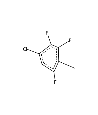 Cc1c(F)cc(Cl)c(F)c1F